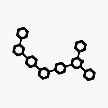 c1ccc(-c2cccc(-c3ccc(-c4cccc(-c5ccc(-c6cc(-c7ccccc7)nc(-c7ccccc7)c6)cc5)c4)cc3)c2)cc1